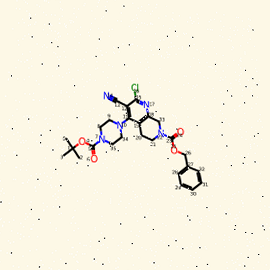 CC(C)(C)OC(=O)N1CCN(c2c(C#N)c(Cl)nc3c2CCN(C(=O)OCc2ccccc2)C3)CC1